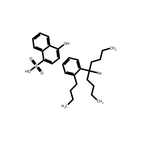 CCCCc1ccccc1[C]([Na])(CCCC)CCCC.O=S(=O)(O)c1ccc(O)c2ccccc12